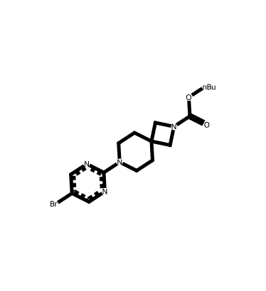 CCCCOC(=O)N1CC2(CCN(c3ncc(Br)cn3)CC2)C1